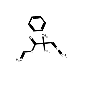 C=C=CC(C)(C)C(=O)OC=C.c1ccccc1